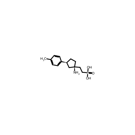 Cc1ccc([C@H]2CC[C@](N)(CCP(=O)(O)O)C2)cc1